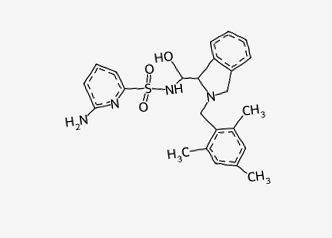 Cc1cc(C)c(CN2Cc3ccccc3C2C(O)NS(=O)(=O)c2cccc(N)n2)c(C)c1